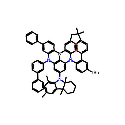 Cc1cc(C)c2c(c1)C1(C)CCCCC1(C)N2c1cc2c3c(c1)N(c1ccc(C(C)(C)C)cc1-c1ccccc1)c1cc4c(cc1B3c1ccc(-c3ccccc3)cc1N2c1cccc(-c2ccccc2)c1)CC(C)(C)C4